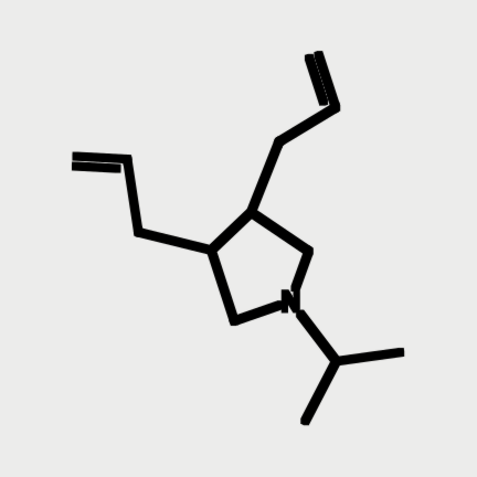 C=CCC1CN(C(C)C)CC1CC=C